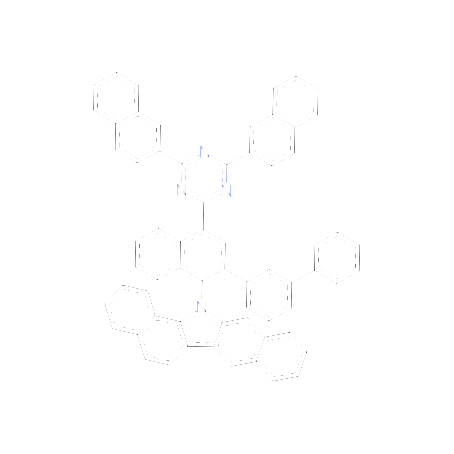 c1ccc(-c2cccc(-c3cc(-c4nc(-c5ccc6ccccc6c5)nc(-c5ccc6ccccc6c5)n4)c4ccccc4c3-n3c4cc5ccccc5cc4c4ccc5ccccc5c43)c2)cc1